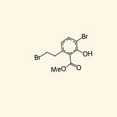 COC(=O)c1c(CCBr)ccc(Br)c1O